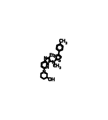 CCc1nc2ccc(N3CCCC(O)C3)nn2c1N(C)c1nc(-c2ccc(C)cc2)cs1